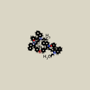 CCCCN1/C(=C/C=C/C2=[N+](C)c3ccc4ccccc4c3C2(C)Cc2ccc(Oc3ccc(CC4(C)C(/C=C/C=C5/N(CCCC)c6ccc7ccccc7c6C5(C)Cc5ccccc5)=[N+](C)c5ccc6ccccc6c54)cc3)cc2)C(C)(Cc2ccccc2)c2c1ccc1ccccc21